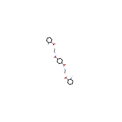 Nc1ccccc1C(=O)OCCNC(=O)c1ccc(C(=O)NCCOC(=O)c2ccccc2N)cc1